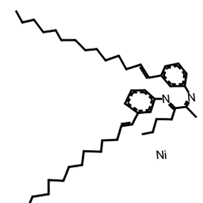 CCCCCCCCCCCCC=Cc1cccc(N=C(C)C(CCCC)=Nc2cccc(C=CCCCCCCCCCCCC)c2)c1.[Ni]